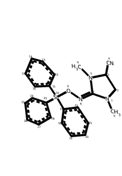 CN1CC(C#N)N(C)C1=NO[Si](c1ccccc1)(c1ccccc1)c1ccccc1